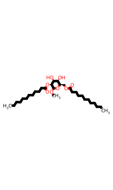 CCCCCCCCCCCC(=O)OC[C@H]1OC(OC)[C@H](OC(=O)CCCCCCCCCCC)[C@@H](O)[C@@H]1O